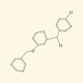 Clc1ccc(C(Cl)c2cccc(OCc3ccccc3)c2)cc1